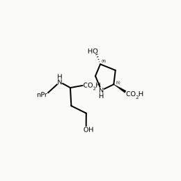 CCCNC(CCO)C(=O)O.O=C(O)[C@@H]1C[C@@H](O)CN1